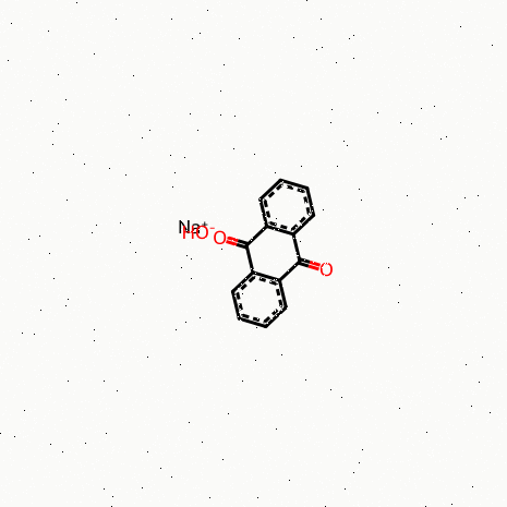 O=C1c2ccccc2C(=O)c2ccccc21.[Na+].[OH-]